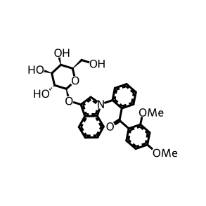 COc1ccc(C(=O)c2ccccc2-n2cc(O[C@@H]3O[C@H](CO)[C@H](O)[C@H](O)[C@H]3O)c3ccccc32)c(OC)c1